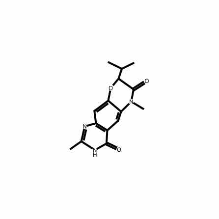 Cc1nc2cc3c(cc2c(=O)[nH]1)N(C)C(=O)C(C(C)C)O3